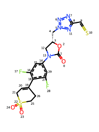 O=C1O[C@@H](Cn2nnc(C=S)n2)CN1c1cc(F)c(C2=CCS(=O)(=O)CC2)c(F)c1